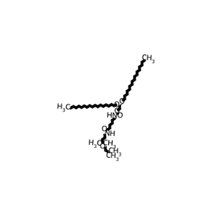 CCCCCCCCCCCCCCCCCCOC[C@H](COC(=O)NCCCCCC(=O)NCCCC(C)(C)OCCC(C)C)OCCCCCCCCCCCCCCCCCC